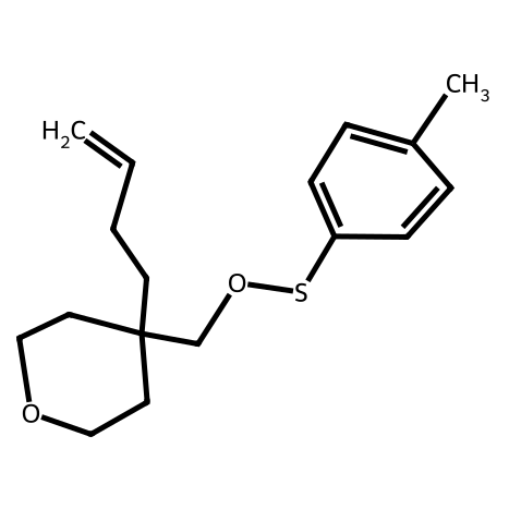 C=CCCC1(COSc2ccc(C)cc2)CCOCC1